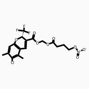 Cc1cc2c(c(C)c1Cl)C=C(C(=O)OCOC(=O)CCCO[N+](=O)[O-])[C@@H](C(F)(F)F)O2